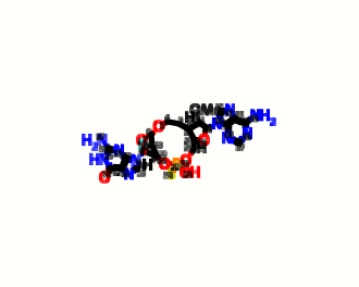 CO[C@@H]1[C@@H]2CCOC3O[C@@H](n4cnc5c(=O)[nH]c(N)nc54)[C@H](OP(O)(=S)OC[C@H]2O[C@H]1n1cnc2c(N)ncnc21)C3(F)F